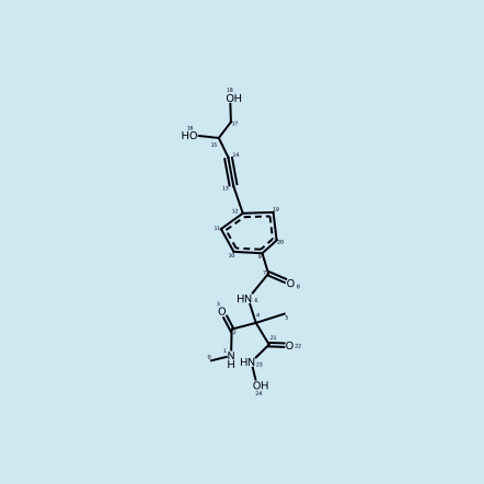 CNC(=O)C(C)(NC(=O)c1ccc(C#CC(O)CO)cc1)C(=O)NO